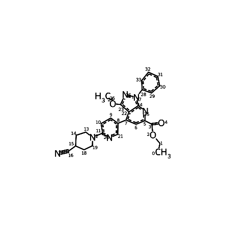 CCOC(=O)c1cc(-c2ccc(N3CCC(C#N)CC3)nc2)c2c(OC)nn(-c3ccccc3)c2n1